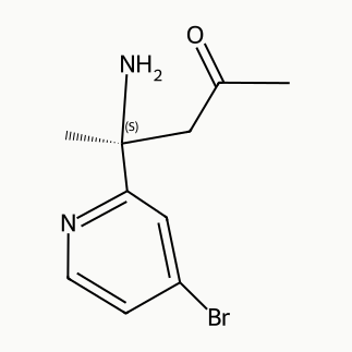 CC(=O)C[C@](C)(N)c1cc(Br)ccn1